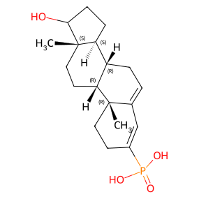 C[C@]12CCC(P(=O)(O)O)=CC1=CC[C@@H]1[C@H]2CC[C@]2(C)C(O)CC[C@@H]12